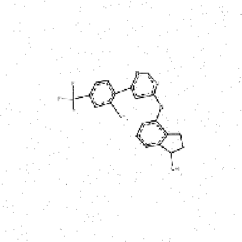 Nc1cc(C(F)(F)F)ccc1-c1cc(Nc2cccc3c2CCC3O)ncn1